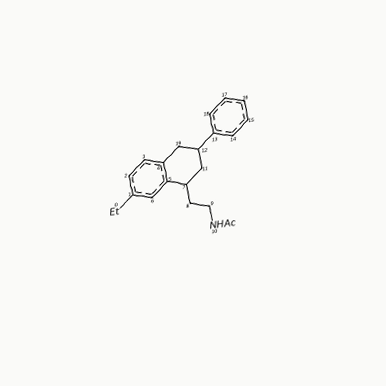 CCc1ccc2c(c1)C(CCNC(C)=O)CC(c1ccccc1)C2